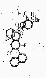 CN(C)C1CN(c2nc(C34CCN(S(=O)(=O)c5ccc(Br)cc5)CC3C4)c3cc(Cl)c(-c4cccc5ccccc45)c(F)c3n2)C1